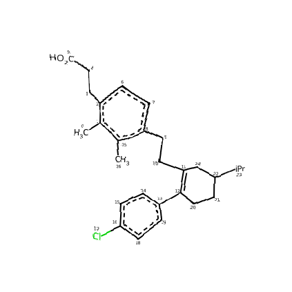 Cc1c(CCC(=O)O)ccc(CCC2=C(c3ccc(Cl)cc3)CCC(C(C)C)C2)c1C